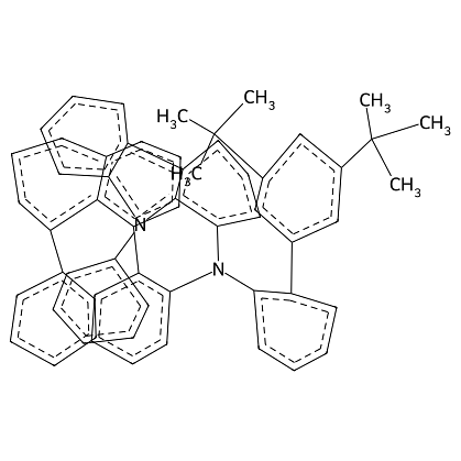 CC(C)(C)c1cc(-c2ccccc2N(c2ccccc2-c2cccc3cccc(-c4ccccc4)c23)c2cccc3c4ccccc4n(-c4ccccc4)c23)cc(C(C)(C)C)c1